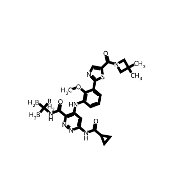 BC(B)(B)NC(=O)c1nnc(NC(=O)C2CC2)cc1Nc1cccc(-c2ncc(C(=O)N3CC(C)(C)C3)s2)c1OC